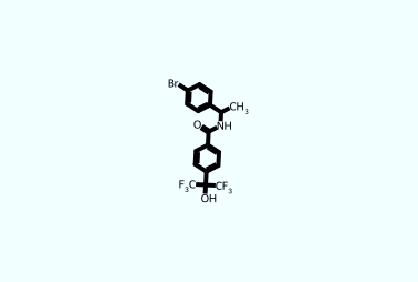 CC(NC(=O)c1ccc(C(O)(C(F)(F)F)C(F)(F)F)cc1)c1ccc(Br)cc1